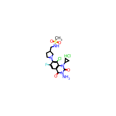 CS(=O)(=O)NCC1CCN(c2c(F)cc3c(=O)n(N)c(=O)n(C4CC4)c3c2Cl)C1.Cl